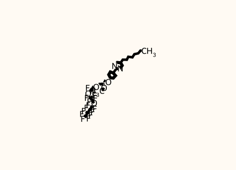 CCCCCCCCc1cnc(-c2ccc(OC[C@@H](COCC(F)(F)OC(F)(F)C(F)(F)OC(F)(F)C(F)(F)C(F)(F)C(F)(F)F)OC)cc2)nc1